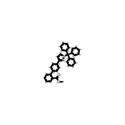 COC(=O)c1ccccc1-c1ccc(-c2ccn(C(c3ccccc3)(c3ccccc3)c3ccccc3)n2)cc1